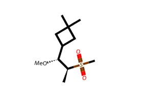 CO[C@H](C1CC(C)(C)C1)[C@H](C)S(C)(=O)=O